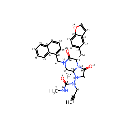 C#CCN(C(=O)NC)N1CC(=O)N2[C@@H](Cc3ccc4occc4c3)C(=O)N(Cc3cccc4ccccc34)C[C@@H]21